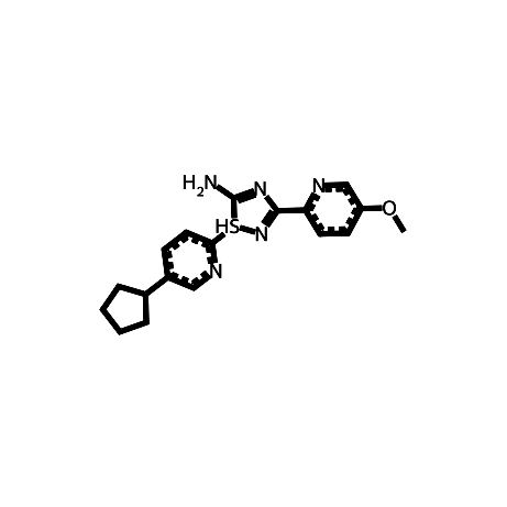 COc1ccc(C2=N[SH](c3ccc(C4CCCC4)cn3)C(N)=N2)nc1